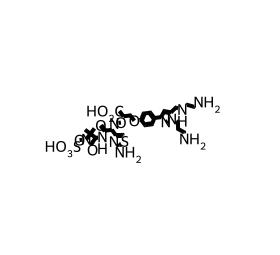 CC1(C)C(NC(=O)C(=NOC(COc2ccc(-c3cc(CNCCN)n(CCCN)n3)cc2)C(=O)O)c2csc(N)n2)C(=O)N1OS(=O)(=O)O